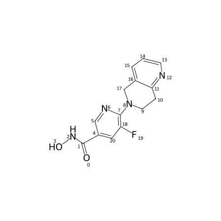 O=C(NO)c1cnc(N2CCc3ncccc3C2)c(F)c1